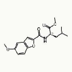 COC(=O)[C@@H](CC(C)C)NC(=O)c1cc2cc(OC)ccc2o1